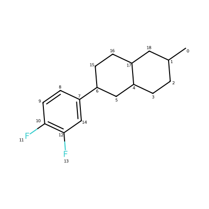 CC1CCC2CC(c3ccc(F)c(F)c3)CCC2C1